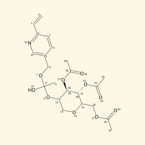 C=Cc1ccc(COC(C)(O)OC2COC(COC(C)=O)[C@@H](OC(C)=O)[C@@H]2OC(C)=O)cn1